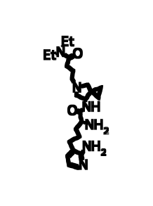 CCN(CC)C(=O)CCCN1C[C@H](NC(=O)[C@@H](N)CCCc2cccnc2N)C2(CC2)C1